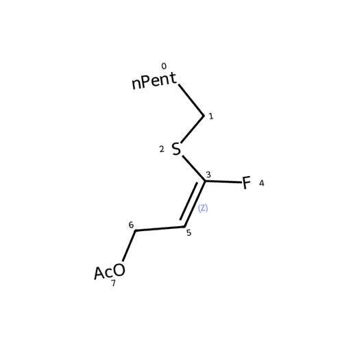 CCCCCCS/C(F)=C\COC(C)=O